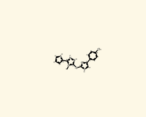 Cn1c(Sc2nc(-c3ccc(Cl)cc3)cs2)nnc1-c1cccs1